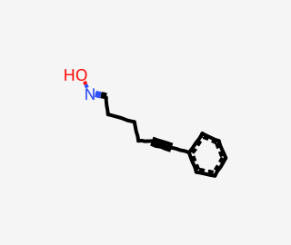 ON=CCCCC#Cc1ccccc1